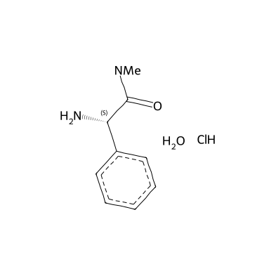 CNC(=O)[C@@H](N)c1ccccc1.Cl.O